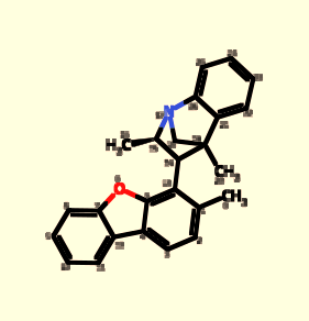 Cc1ccc2c(oc3ccccc32)c1C1[C@@H](C)N2CC1(C)c1ccccc12